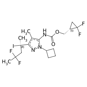 Cc1c([C@](C)(I)CC(C)(F)F)nn(C2CCC2)c1NC(=O)OC[C@@H]1CC1(F)F